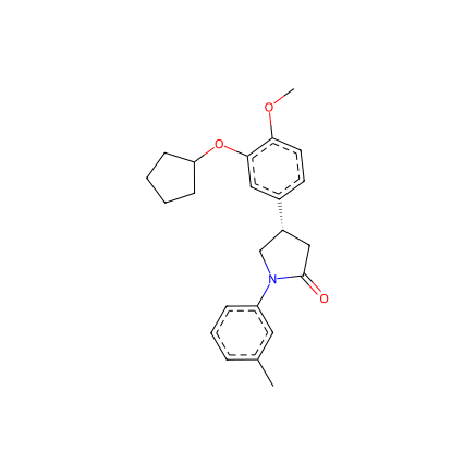 COc1ccc([C@@H]2CC(=O)N(c3cccc(C)c3)C2)cc1OC1CCCC1